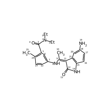 CCN(CC)C(=O)c1cc(N/C(C)=C2\C(=O)Nc3ccc(N)cc32)ccc1C